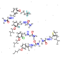 CCCCOc1cccc(C(C)(C)CNCC(=O)N(C)C)c1.CCCCOc1cccc(CCNCC(=O)N(C)C)c1Cl.CCCCOc1cccc(CCNCC(=O)N(C)C)c1F.CCCCc1ccsc1CCNCC(=O)N(C)C.CN(C)C(=O)CNCCc1cccc(OCCCC(F)(F)F)c1